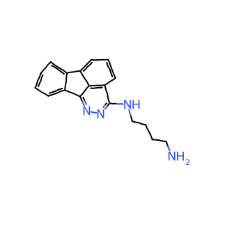 NCCCCNc1nnc2c3c(cccc13)-c1ccccc1-2